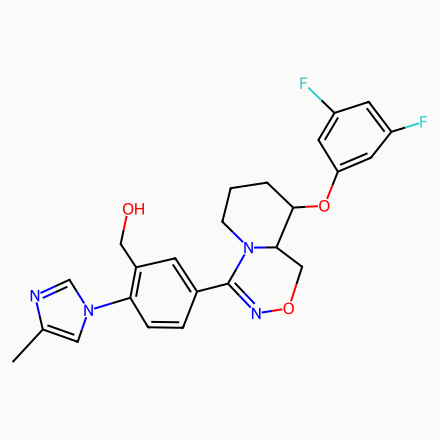 Cc1cn(-c2ccc(C3=NOCC4C(Oc5cc(F)cc(F)c5)CCCN34)cc2CO)cn1